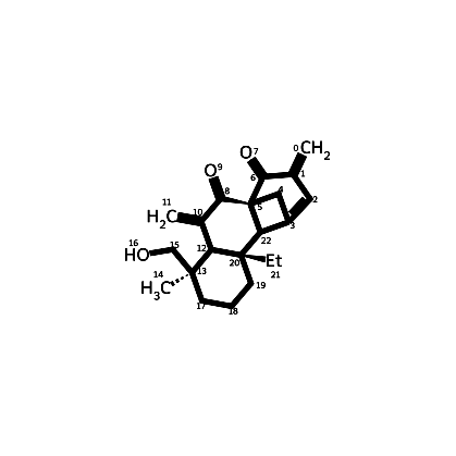 C=C1C=C2C[C@]3(C1=O)C(=O)C(=C)C1[C@](C)(CO)CCC[C@@]1(CC)C23